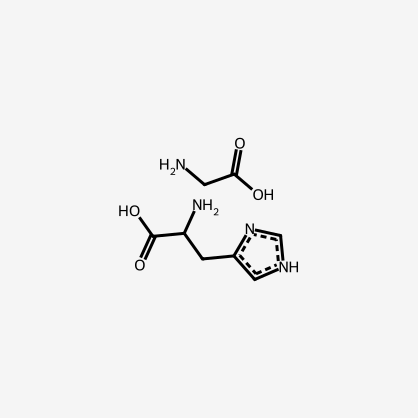 NC(Cc1c[nH]cn1)C(=O)O.NCC(=O)O